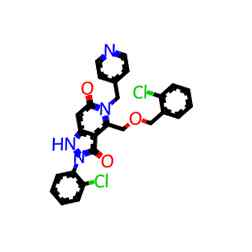 O=c1c2c(COCc3ccccc3Cl)n(Cc3ccncc3)c(=O)cc2[nH]n1-c1ccccc1Cl